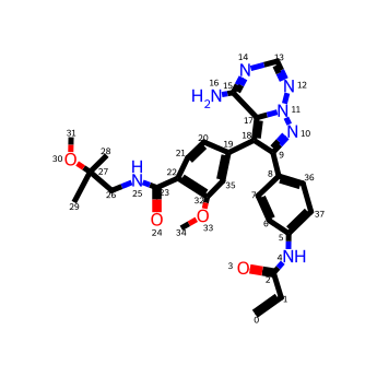 C=CC(=O)Nc1ccc(-c2nn3ncnc(N)c3c2-c2ccc(C(=O)NCC(C)(C)OC)c(OC)c2)cc1